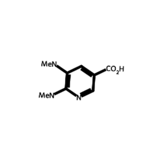 CNc1cc(C(=O)O)cnc1NC